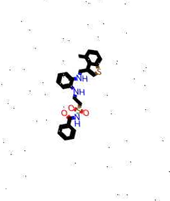 Cc1cccc2scc(CNc3ccccc3NCCS(=O)(=O)NC(=O)c3ccccc3)c12